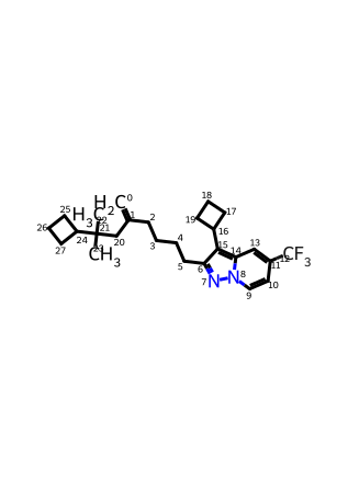 C=C(CCCCc1nn2ccc(C(F)(F)F)cc2c1C1CCC1)CC(C)(C)C1CCC1